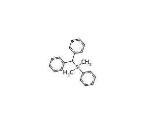 C[Si](C)(c1ccccc1)C(c1ccccc1)c1ccccc1